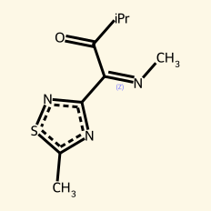 C/N=C(\C(=O)C(C)C)c1nsc(C)n1